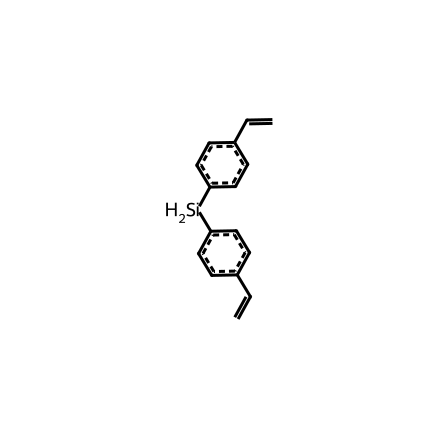 C=Cc1ccc([SiH2]c2ccc(C=C)cc2)cc1